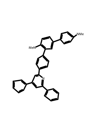 CNc1ccc(-c2ccc(NC)c(-c3ccc(-c4cc(-c5ccccc5)cc(-c5ccccc5)n4)cc3)c2)cc1